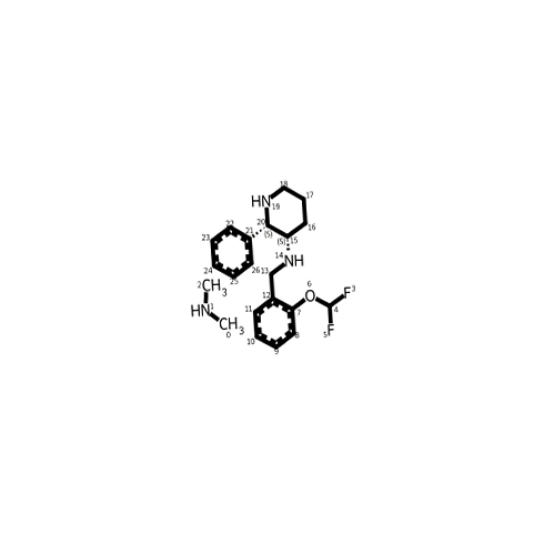 CNC.FC(F)Oc1ccccc1CN[C@H]1CCCN[C@H]1c1ccccc1